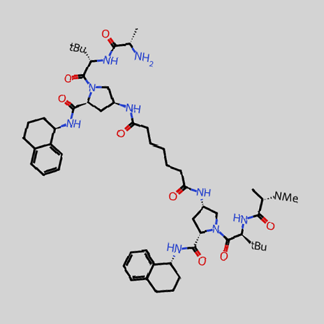 CN[C@@H](C)C(=O)N[C@H](C(=O)N1C[C@@H](NC(=O)CCCCCC(=O)N[C@H]2C[C@@H](C(=O)N[C@@H]3CCCc4ccccc43)N(C(=O)[C@@H](NC(=O)[C@H](C)N)C(C)(C)C)C2)C[C@H]1C(=O)N[C@@H]1CCCc2ccccc21)C(C)(C)C